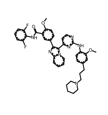 COc1cc(CCCN2CCCCC2)ccc1Nc1nccc(-c2c(-c3ccc(OC)c(C(=O)Nc4c(F)cccc4F)c3)nc3ccccn23)n1